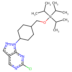 CC(C)[Si](OCC1CCC(n2ncc3cnc(Cl)nc32)CC1)(C(C)C)C(C)C